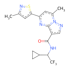 Cc1cc(-c2cc(C)n3ncc(C(=O)NC(C4CC4)C(F)(F)F)c3n2)sn1